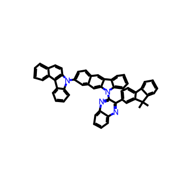 CC1(C)c2ccccc2-c2ccc(-c3nc4ccccc4nc3-n3c4ccccc4c4cc5ccc(-n6c7ccccc7c7c8ccccc8ccc76)cc5cc43)cc21